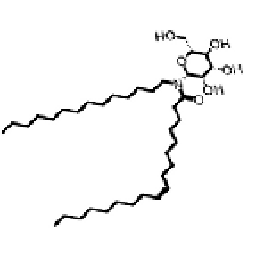 CCCCCCCC/C=C\CCCCCCCC(=O)N(CCCCCCCCCCCCCC)[C@@H]1O[C@H](CO)[C@@H](O)[C@H](O)[C@@H]1O